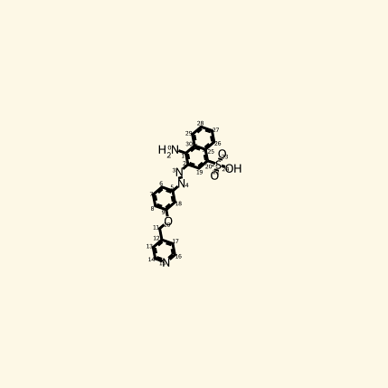 Nc1c(N=Nc2cccc(OCc3ccncc3)c2)cc(S(=O)(=O)O)c2ccccc12